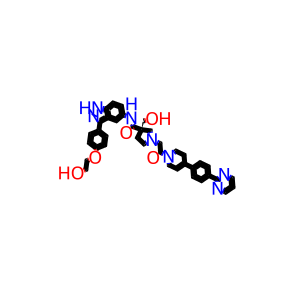 O=C(CN1CC[C@@](CO)(C(=O)Nc2ccc3[nH]nc(-c4ccc(OCCO)cc4)c3c2)C1)N1CC=C(c2ccc(-c3ncccn3)cc2)CC1